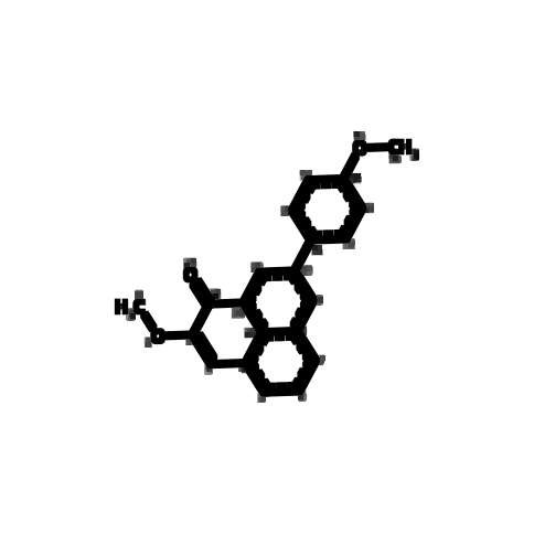 COC1=Cc2cccc3cc(-c4ccc(OC)cc4)cc(c23)C1=O